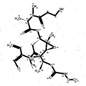 C=C/C(=C/Cl)N(C)C(=O)C[C@H](OC(=O)[C@H](C)N(C)C(=O)CCS)[C@]1(C)O[C@H]1[C@H](C)[C@H](C)OC(=O)NOC